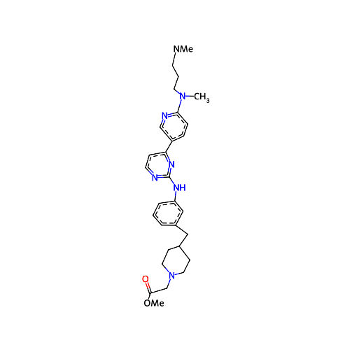 CNCCCN(C)c1ccc(-c2ccnc(Nc3cccc(CC4CCN(CC(=O)OC)CC4)c3)n2)cn1